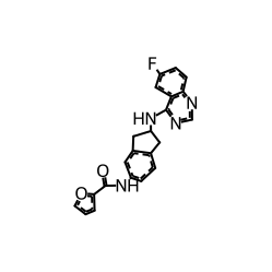 O=C(Nc1ccc2c(c1)CC(Nc1ncnc3ccc(F)cc13)C2)c1ccco1